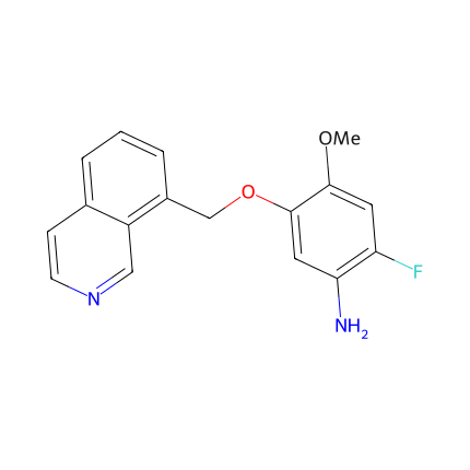 COc1cc(F)c(N)cc1OCc1cccc2ccncc12